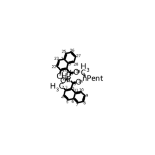 CCCCCC.Cc1ccc2ccccc2c1C(=O)[PH](=O)C(=O)c1c(C)ccc2ccccc12